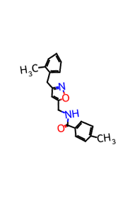 Cc1ccc(C(=O)NCc2cc(Cc3ccccc3C)no2)cc1